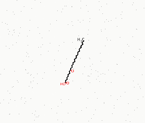 CCCCCCCCCCCCCCCCCCCC(=O)CCCCCCCC(=O)O